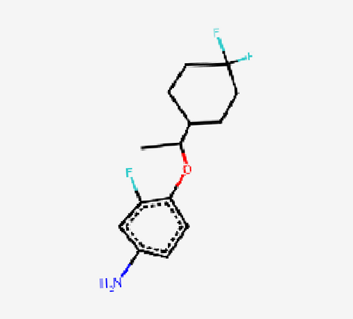 CC(Oc1ccc(N)cc1F)C1CCC(F)(F)CC1